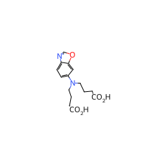 O=C(O)CCCN(CCCC(=O)O)c1ccc2ncoc2c1